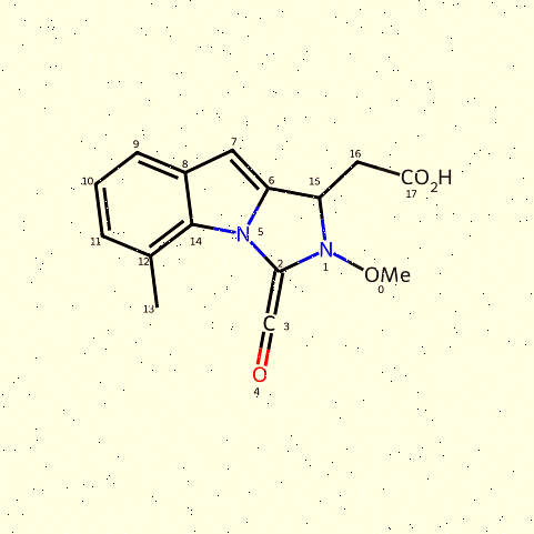 CON1C(=C=O)n2c(cc3cccc(C)c32)C1CC(=O)O